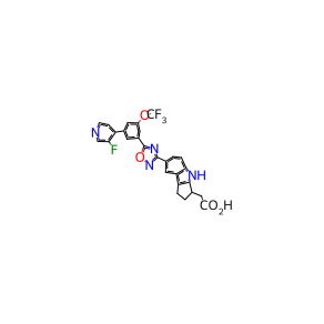 O=C(O)CC1CCc2c1[nH]c1ccc(-c3noc(-c4cc(OC(F)(F)F)cc(-c5ccncc5F)c4)n3)cc21